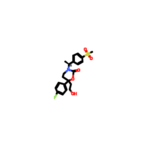 C[C@@H](c1ccc(S(C)(=O)=O)cc1)N1CCC(CCO)(c2ccc(F)cc2)OC1=O